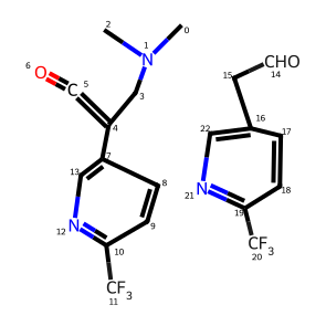 CN(C)CC(=C=O)c1ccc(C(F)(F)F)nc1.O=CCc1ccc(C(F)(F)F)nc1